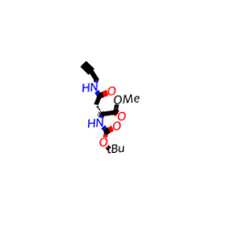 C#CCNC(=O)C[C@@H](NC(=O)OC(C)(C)C)C(=O)OC